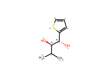 CC(C)[C@@H](O)[C@@H](O)c1cccs1